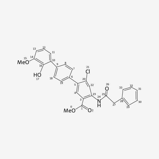 COC(=O)c1cc(-c2ccc(-c3cccc(OC)c3O)cc2)c(Cl)cc1NC(=O)Cc1ccccc1